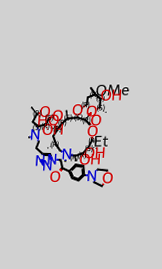 CC[C@H]1OC(=O)[C@H](C)[C@@H](O[C@H]2C[C@@](C)(OC)[C@@H](O)[C@H](C)O2)[C@H](C)[C@@H](O[C@@H]2O[C@H](C)C[C@H](N(C)CCc3cn(CC(=O)c4ccc(N5CCOCC5)cc4)nn3)[C@H]2O)[C@](C)(O)C[C@@H](C)CN(C)[C@H](C)[C@@H](O)[C@]1(C)O